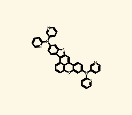 c1ccc(N(c2cccnc2)c2ccc3c(c2)Sc2cccc4c2c-3cc2sc3cc(N(c5cccnc5)c5ccccn5)ccc3c24)nc1